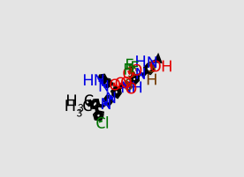 CC1(C)CCC(CN2CCN(c3ccc(C(=O)NS(=O)(=O)c4ccc(NCC5CC[SH](O)(=NC6CC6)CC5)c(S(=O)(=O)C(F)(F)F)c4)c(Oc4cnc5[nH]ccc5c4)c3)CC2)=C(c2ccc(Cl)cc2)C1